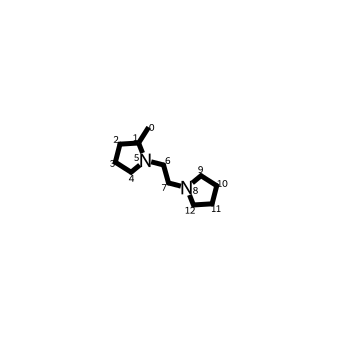 CC1CCCN1CCN1CCCC1